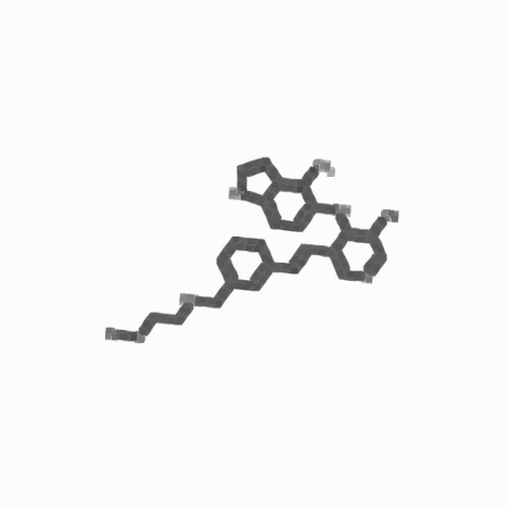 CCOCCNCc1cccc(C=Cc2cncc(C#N)c2Nc2ccc3[nH]ccc3c2C)c1